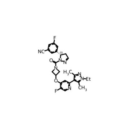 CCn1nc(C)c(-c2cc(OC3CN(C(=O)N4N=CC[C@H]4c4cc(F)cc(C#N)c4)C3)c(F)cn2)c1C